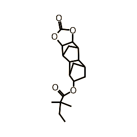 CCC(C)(C)C(=O)OC1CC2CC1C1C3CC(C4OC(=O)OC34)C21